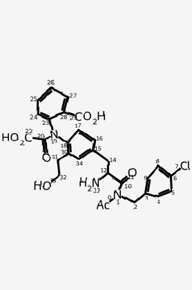 CC(=O)N(Cc1ccc(Cl)cc1)C(=O)C(N)Cc1ccc(N(C(=O)C(=O)O)c2ccccc2C(=O)O)c(CCO)c1